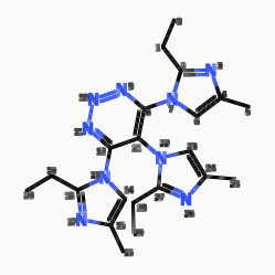 CCc1nc(C)cn1-c1nnnc(-n2cc(C)nc2CC)c1-n1cc(C)nc1CC